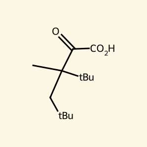 CC(C)(C)CC(C)(C(=O)C(=O)O)C(C)(C)C